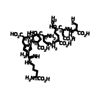 CC(C)C[C@H](N)C(=O)O.N=C(N)NCCC[C@H](N)C(=O)O.NCCCC[C@H](N)C(=O)O.N[C@@H](CC(=O)O)C(=O)O.N[C@@H](CS)C(=O)O.N[C@@H](Cc1c[nH]cn1)C(=O)O.O=C(O)[C@@H]1CCCN1